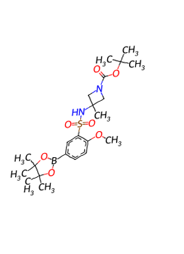 COc1ccc(B2OC(C)(C)C(C)(C)O2)cc1S(=O)(=O)NC1(C)CN(C(=O)OC(C)(C)C)C1